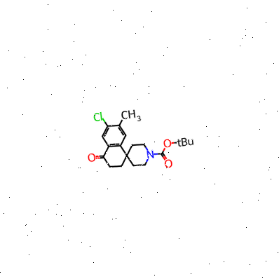 Cc1cc2c(cc1Cl)C(=O)CCC21CCN(C(=O)OC(C)(C)C)CC1